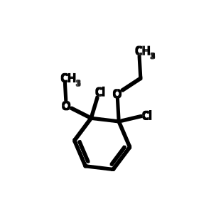 CCOC1(Cl)C=CC=CC1(Cl)OC